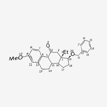 CC[C@]12CC(=O)C3c4ccc(OC)cc4CCC3C1CC[C@@H]2OCc1ccccc1